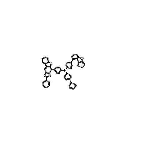 c1ccc(-c2ccc(N(c3ccc(-c4c5nc(-c6ccccc6)oc5cc5c4oc4ccccc45)cc3)c3ccc(-c4cccc5oc6ccccc6c45)cc3)cc2)cc1